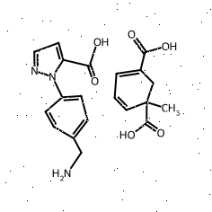 CC1(C(=O)O)C=CC=C(C(=O)O)C1.NCc1ccc(-n2nccc2C(=O)O)cc1